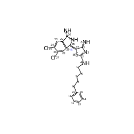 N=C1N=C(NCCCCCc2ccccc2)S/C1=C1/NC(=N)c2cc(Cl)c(Cl)cc21